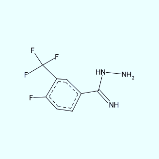 N=C(NN)c1ccc(F)c(C(F)(F)F)c1